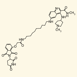 CNC(=O)c1cnc2ccc(NCCCCCCCCCCNC(=O)COc3cccc4c3C(=O)N(C3CCC(=O)NC3=O)C4=O)cc2c1NC1CCN(C)CC1